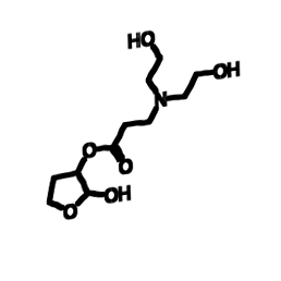 O=C(CCN(CCO)CCO)OC1CCOC1O